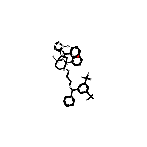 CC(c1ccccc1)N1[C@@H]2CC[C@H](OCCOC(c3ccccc3)c3cc(C(F)(F)F)cc(C(F)(F)F)c3)[C@@]1(c1ccccc1)C[C@@H]2c1nnnn1C